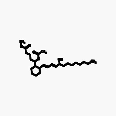 CCCCCCCCC(O)/C=C/C=C/[C@H]1CCCC[C@H]1C(CCCC(=O)OC)OC(C)=O